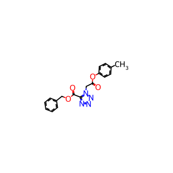 Cc1ccc(OC(=O)Cn2nnnc2C(=O)OCc2ccccc2)cc1